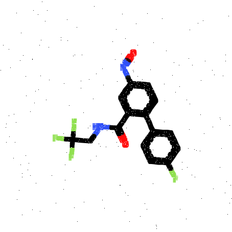 O=Nc1ccc(-c2ccc(F)cc2)c(C(=O)NCC(F)(F)F)c1